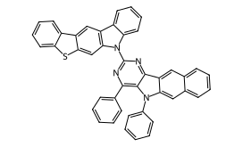 c1ccc(-c2nc(-n3c4ccccc4c4cc5c(cc43)sc3ccccc35)nc3c4cc5ccccc5cc4n(-c4ccccc4)c23)cc1